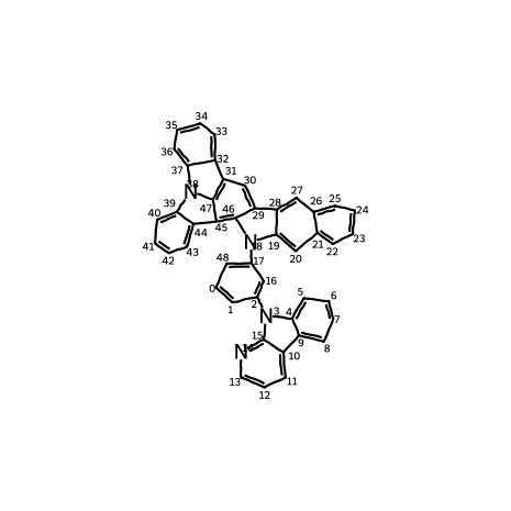 c1cc(-n2c3ccccc3c3cccnc32)cc(-n2c3cc4ccccc4cc3c3cc4c5ccccc5n5c6ccccc6c(c32)c45)c1